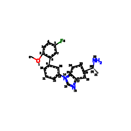 COc1ccc(F)cc1-c1cccc(-n2cnc3cc([C@@H](C)N)ccc32)c1